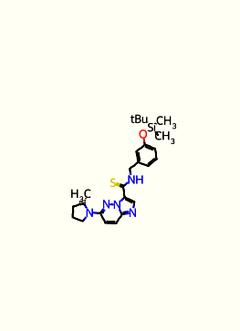 C[C@H]1CCCN1c1ccc2ncc(C(=S)NCc3cccc(O[Si](C)(C)C(C)(C)C)c3)n2n1